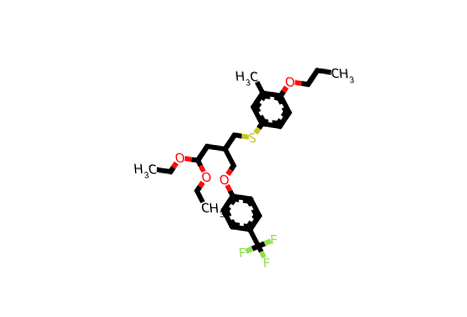 CCCOc1ccc(SCC(COc2ccc(C(F)(F)F)cc2)CC(OCC)OCC)cc1C